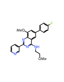 COCCNc1nc(-c2cccnc2)nc2c(OC)cc(-c3ccc(F)cc3)cc12